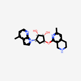 Cc1cc2c(c(O[C@H]3C[C@@H](n4ccc5c(C)ccnc54)[C@H](O)[C@@H]3O)n1)CNCC2